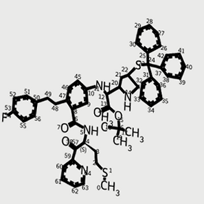 CSCC[C@H](NC(=O)c1cc(NC(C(=O)OC(C)(C)C)C2CC(SC(c3ccccc3)(c3ccccc3)c3ccccc3)CN2)ccc1CCc1ccc(F)cc1)C(=O)c1ccccn1